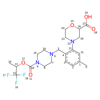 Cc1ccc(CN2CCN(C(=O)OC(C)C(F)(F)F)CC2)c(N2CCOC(C(=O)O)C2)c1